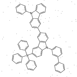 c1ccc(-c2cccc(-n3c4ccc(-c5ccc6c(c5)c5ccccc5n6-c5ccccc5)cc4c4cc([Si](c5ccccc5)(c5ccccc5)c5ccccc5)ccc43)c2)cc1